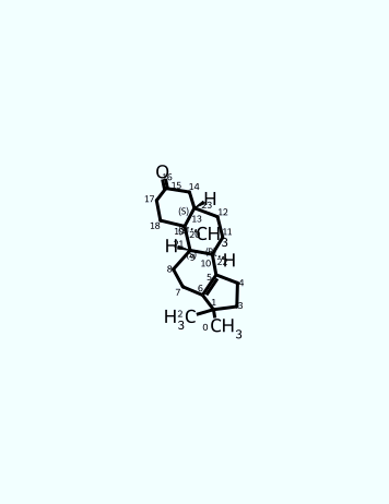 CC1(C)CCC2=C1CC[C@H]1[C@H]2CC[C@H]2CC(=O)CC[C@@]21C